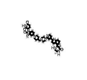 C[C@@H]1CNc2c(sc3ccc4nc(-c5ccnc(N6CCN(CC7CCN(c8ccc9c(c8)n(C)c(=O)n9C8CCC(=O)NC8=O)CC7)CC6)c5)ccc4c23)C(=O)N1